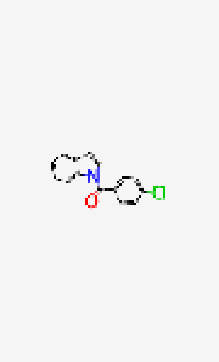 O=C(c1ccc(Cl)cc1)n1ccc2ccccc21